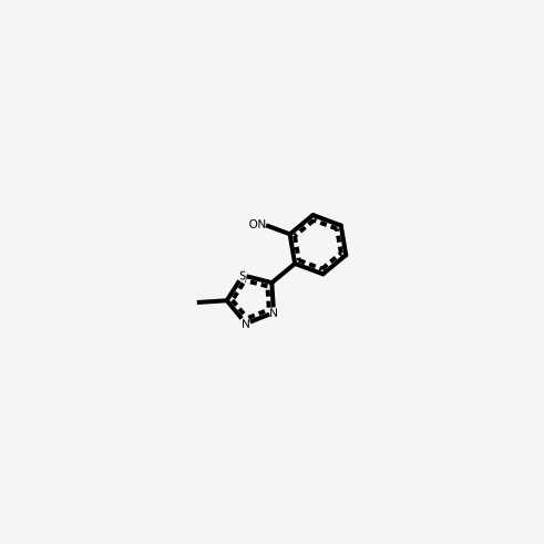 Cc1nnc(-c2ccccc2N=O)s1